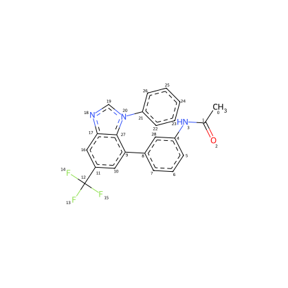 CC(=O)Nc1cccc(-c2cc(C(F)(F)F)cc3ncn(-c4ccccc4)c23)c1